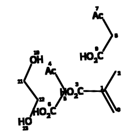 C=C(C)C(=O)O.CC(=O)CC(=O)O.CC(=O)CC(=O)O.OCCO